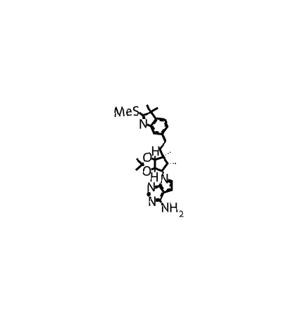 CSC1=Nc2cc(CC[C@@]3(C)[C@H](C)[C@@H](n4ccc5c(N)ncnc54)[C@@H]4OC(C)(C)O[C@@H]43)ccc2C1(C)C